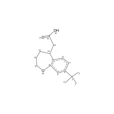 CC(C)(C)c1ccc2c(c1)OCCCC2CC(=O)O